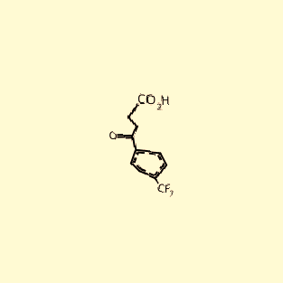 O=C(O)CCC(=O)c1ccc(C(F)(F)F)cc1